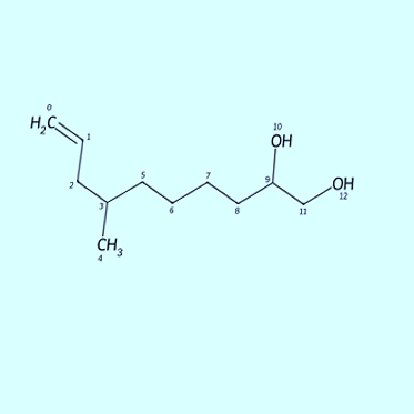 C=CCC(C)CCCCC(O)CO